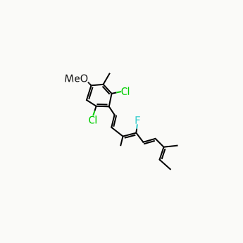 CC=C(C)C=CC(F)=C(C)C=Cc1c(Cl)cc(OC)c(C)c1Cl